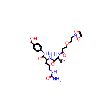 CC(C)C(NC(=O)CCOCCN1OC=CO1)C(=O)NC(CCCNC(N)=O)C(=O)Nc1ccc(CO)cc1